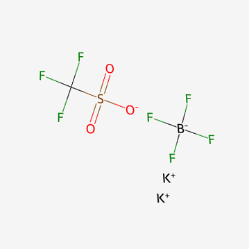 F[B-](F)(F)F.O=S(=O)([O-])C(F)(F)F.[K+].[K+]